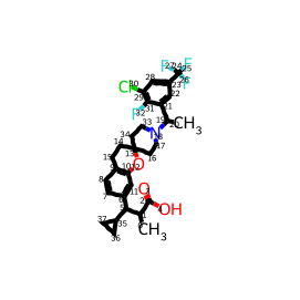 CC(C(=O)O)C(c1ccc2c(c1)OC1(CC2)CCN(C(C)c2cc(C(F)(F)F)cc(Cl)c2F)CC1)C1CC1